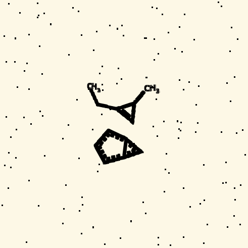 CCC1=CC1C.c1cc2cc-2c1